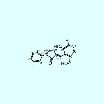 Cc1ncc(CO)c(/C=C2\C=NN(c3ccccc3)C2=O)c1O